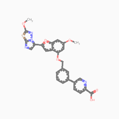 COc1cc(OCc2cccc(-c3ccc(C(=O)O)nc3)c2)c2cc(-c3cnc4sc(OC)nn34)oc2c1